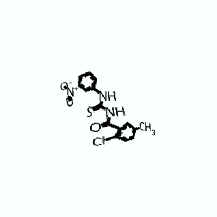 Cc1ccc(Cl)c(C(=O)NC(=S)Nc2cccc([N+](=O)[O-])c2)c1